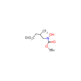 CCOC(=O)CC(CN(O)C(=O)OC(C)(C)C)C(F)(F)F